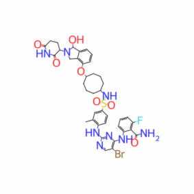 Cc1cc(S(=O)(=O)NC2CCCC(Oc3cccc4c3CN(C3CCC(=O)NC3=O)C4O)CCC2)ccc1Nc1ncc(Br)c(Nc2cccc(F)c2C(N)=O)n1